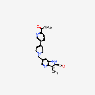 CNC(=O)c1ccc(C2=CCN(Cc3cnc4c(c3)NC(=C=O)[C@H]4C)CC2)cn1